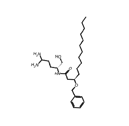 CCCCCCCCCCC[C@H](CC(=O)N[C@@H](CO)CCC(N)N)OCc1ccccc1